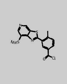 CSc1cncc2sc(-c3cc(C(=O)Cl)ccc3C)nc12